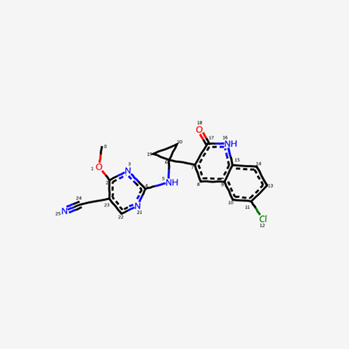 COc1nc(NC2(c3cc4cc(Cl)ccc4[nH]c3=O)CC2)ncc1C#N